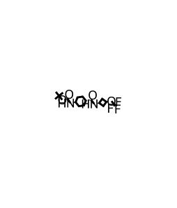 CC(C)(C)OC(=O)N[C@H]1CC[C@H](C(=O)N[C@H]2C[C@@H](OC(F)(F)F)C2)CC1